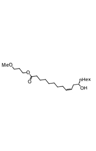 CCCCCC[C@@H](O)C/C=C\CCCCCCCC(=O)OCCCOC